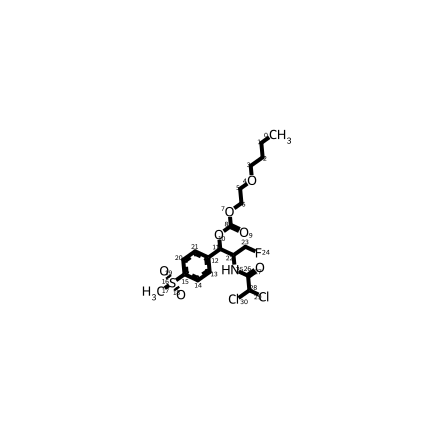 CCCCOCCOC(=O)OC(c1ccc(S(C)(=O)=O)cc1)C(CF)NC(=O)C(Cl)Cl